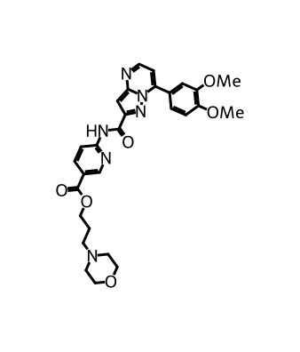 COc1ccc(-c2ccnc3cc(C(=O)Nc4ccc(C(=O)OCCCN5CCOCC5)cn4)nn23)cc1OC